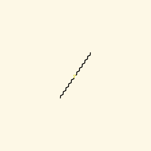 CCCCCCCCCCCCSCCCCCCCCCCC